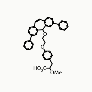 COC(Cc1ccc(OCCOC2c3cc(-c4ccccc4)ccc3C=Cc3ccc(-c4ccccc4)cc32)cc1)C(=O)O